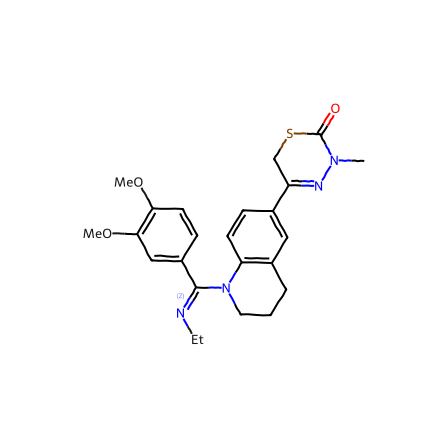 CC/N=C(/c1ccc(OC)c(OC)c1)N1CCCc2cc(C3=NN(C)C(=O)SC3)ccc21